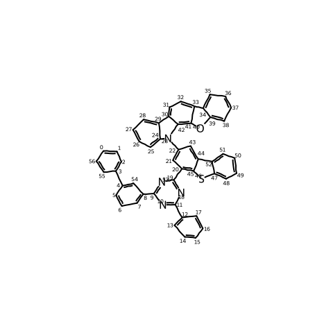 c1ccc(-c2cccc(-c3nc(-c4ccccc4)nc(-c4cc(-n5c6ccccc6c6ccc7c8ccccc8oc7c65)cc5c4sc4ccccc45)n3)c2)cc1